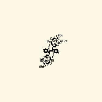 CCCCCCCCOC(=O)O[C@H]1C[C@@H](Cc2c(-c3[nH]c4cc(F)ccc4c3C[C@@H]3C[C@H](OC(=O)OCCCCCCCC)CN3C(=O)[C@H](CCC)NC(=O)[C@H](C)N(C)C(=O)OC(C)(C)C)[nH]c3cc(F)ccc23)N(C(=O)[C@H](CC)NC(=O)[C@H](C)N(C)C(=O)OC(C)(C)C)C1